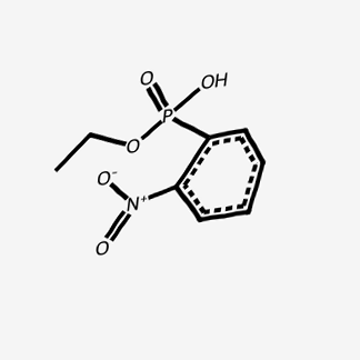 CCOP(=O)(O)c1ccccc1[N+](=O)[O-]